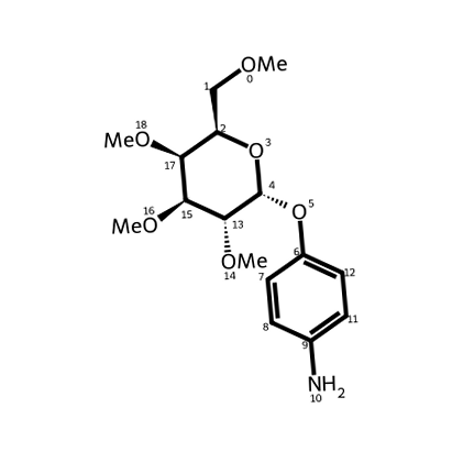 COC[C@H]1O[C@H](Oc2ccc(N)cc2)[C@H](OC)[C@@H](OC)[C@H]1OC